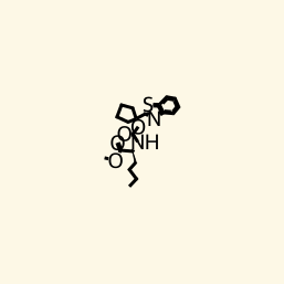 CCCC[C@H](NC(=O)OC1(c2nc3ccccc3s2)CCCC1)C(=O)OC